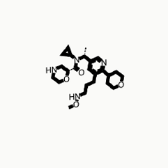 CONCCCc1cc([C@@H](C)N(C(=O)[C@H]2CNCCO2)C2CC2)cnc1C1CCOCC1